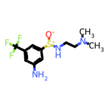 CN(C)CCN[S+]([O-])c1cc(N)cc(C(F)(F)F)c1